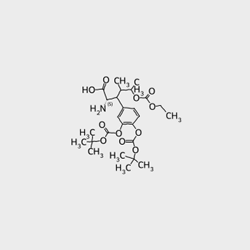 CCOC(=O)OC(C)C(C)C(c1ccc(OC(=O)OC(C)(C)C)c(OC(=O)OC(C)(C)C)c1)[C@H](N)C(=O)O